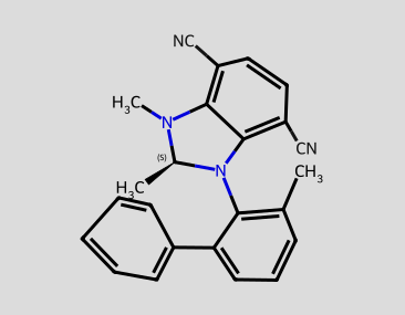 Cc1cccc(-c2ccccc2)c1N1c2c(C#N)ccc(C#N)c2N(C)[C@@H]1C